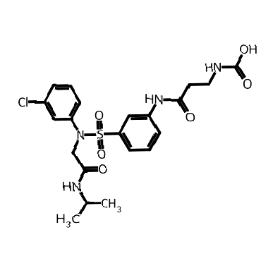 CC(C)NC(=O)CN(c1cccc(Cl)c1)S(=O)(=O)c1cccc(NC(=O)CCNC(=O)O)c1